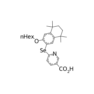 CCCCCCOc1cc2c(cc1[Se]c1ccc(C(=O)O)cn1)C(C)(C)CCC2(C)C